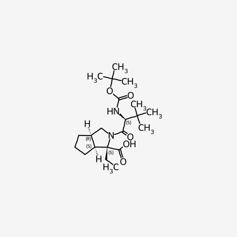 CC[C@@]1(C(=O)O)[C@H]2CCC[C@H]2CN1C(=O)[C@@H](NC(=O)OC(C)(C)C)C(C)(C)C